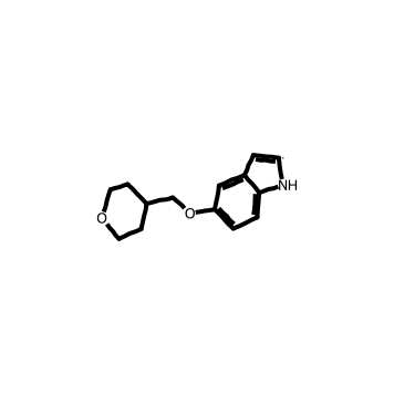 [c]1cc2cc(OCC3CCOCC3)ccc2[nH]1